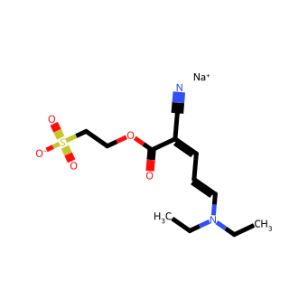 CCN(C=CC=C(C#N)C(=O)OCCS(=O)(=O)[O-])CC.[Na+]